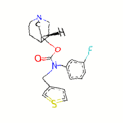 O=C(O[C@H]1CN2CCC1CC2)N(Cc1ccsc1)c1cccc(F)c1